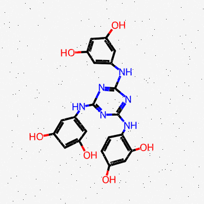 Oc1cc(O)cc(Nc2nc(Nc3cc(O)cc(O)c3)nc(Nc3ccc(O)cc3O)n2)c1